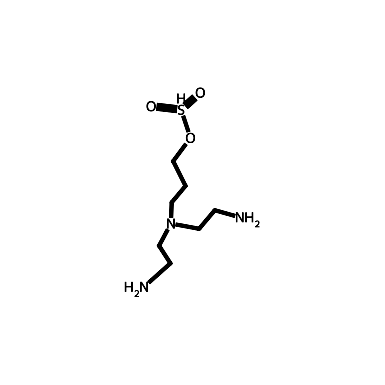 NCCN(CCN)CCCO[SH](=O)=O